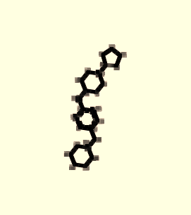 c1nc(OC2CCN(C3CCCC3)CC2)ncc1CN1CCCCC1